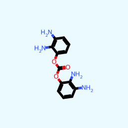 Nc1cccc(OC(=O)Oc2cccc(N)c2N)c1N